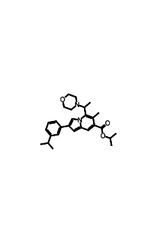 Cc1c(C(=O)OC(C)C)cc2cc(-c3cccc(C(C)C)c3)cn2c1C(C)N1CCOCC1